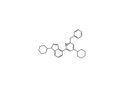 C1=CC(C2CCCCC2)c2cccc(-c3cc(C4CCCCC4)cc(Cc4ccccc4)n3)c21